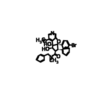 COc1cncc2c1[C@]1(O)[C@H](O)[C@H](C(=O)N(C)Cc3ccccc3)[C@@H](c3ccccc3)[C@]1(c1ccc(Br)cc1)O2